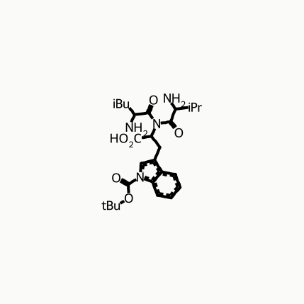 CCC(C)C(N)C(=O)N(C(=O)C(N)C(C)C)C(Cc1cn(C(=O)OC(C)(C)C)c2ccccc12)C(=O)O